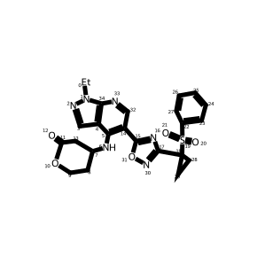 CCn1ncc2c(NC3CCOC(=O)C3)c(-c3nc(C4(S(=O)(=O)c5ccccc5)CC4)no3)cnc21